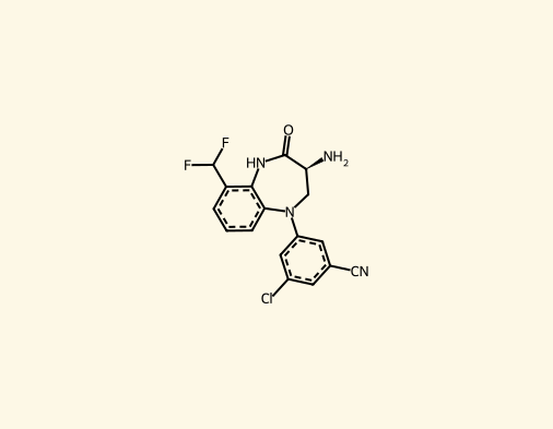 N#Cc1cc(Cl)cc(N2C[C@H](N)C(=O)Nc3c(C(F)F)cccc32)c1